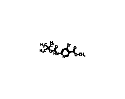 COC(=O)c1cnc(NC(=O)OC(C)(C)C)cc1Br